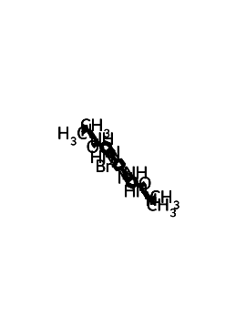 CN(C)CCNC(=O)c1ccc2nc(-c3ccc(-c4nc5ccc(C(=O)NCCN(C)C)cc5[nH]4)c(Br)c3)[nH]c2c1